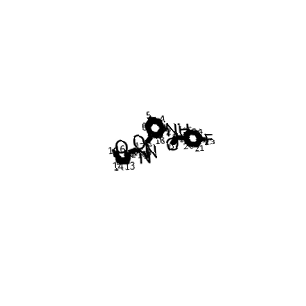 O=C(Nc1cccc(-c2nnc(-c3ccco3)o2)c1)c1ccc(F)cc1